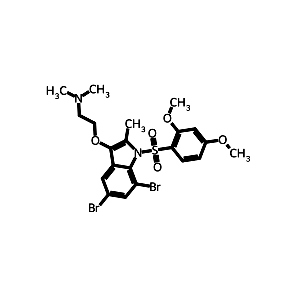 COc1ccc(S(=O)(=O)n2c(C)c(OCCN(C)C)c3cc(Br)cc(Br)c32)c(OC)c1